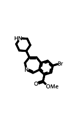 COC(=O)c1cc(Br)cc2c1C=NCC(C1CCNCC1)=C2